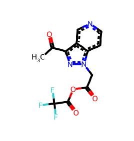 CC(=O)c1nn(CC(=O)OC(=O)C(F)(F)F)c2ccncc12